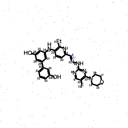 CCc1nc(/C=N/Nc2ncc(F)c(N3CCOCC3)n2)ccc1Nc1cc(O)cc(-c2cccc(O)c2)c1